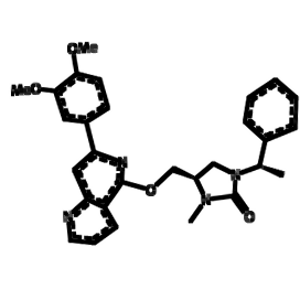 COc1ccc(-c2cc3ncccc3c(OC[C@H]3CN([C@H](C)c4ccccc4)C(=O)N3C)n2)cc1OC